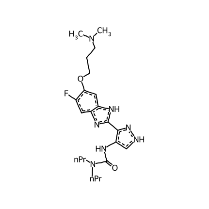 CCCN(CCC)C(=O)Nc1c[nH]nc1-c1nc2cc(F)c(OCCCN(C)C)cc2[nH]1